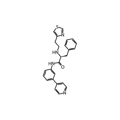 O=C(Nc1cccc(-c2ccncc2)c1)[C@H](Cc1ccccc1)NCCc1cscn1